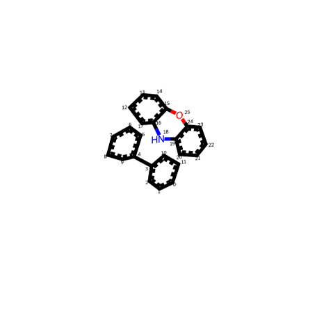 c1ccc(-c2ccccc2)cc1.c1ccc2c(c1)Nc1ccccc1O2